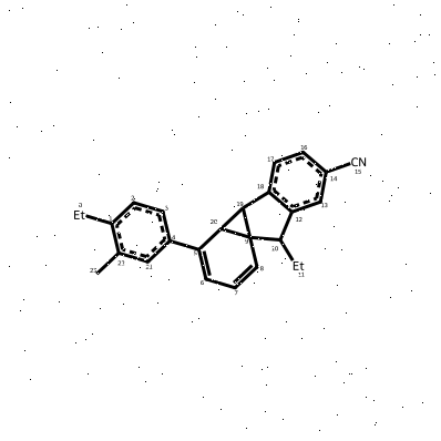 CCc1ccc(C2=CC=CC34C(CC)c5cc(C#N)ccc5C3C24)cc1C